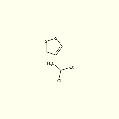 C1=CSSC1.CCC(C)Cl